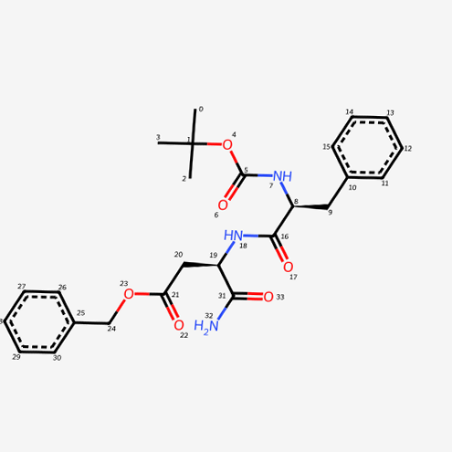 CC(C)(C)OC(=O)N[C@@H](Cc1ccccc1)C(=O)N[C@H](CC(=O)OCc1ccccc1)C(N)=O